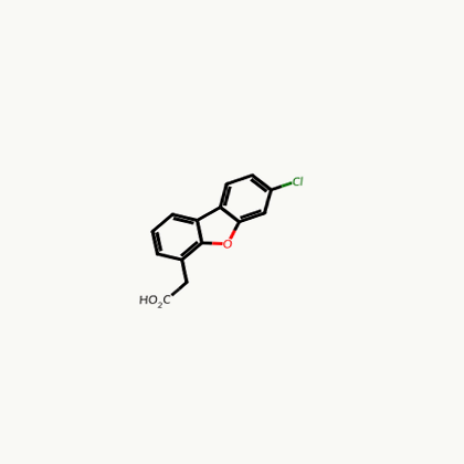 O=C(O)Cc1cccc2c1oc1cc(Cl)ccc12